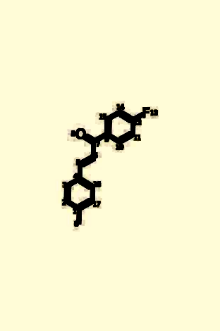 Cc1ccc(C=CC(=O)c2ccc(F)cc2)cc1